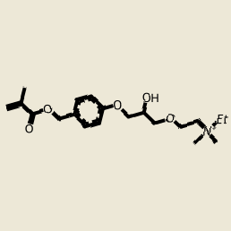 C=C(C)C(=O)OCc1ccc(OCC(O)COCC[N+](C)(C)CC)cc1